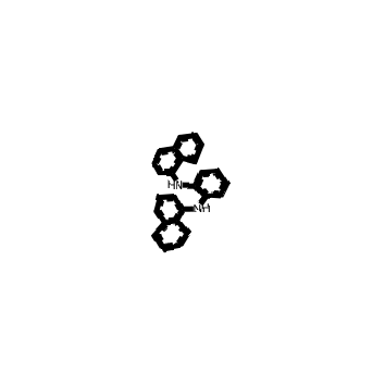 c1ccc(Nc2cccc3ccccc23)c(Nc2cccc3ccccc23)c1